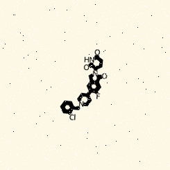 O=C1CCC(N2Cc3cc(C4CCN(Cc5ccccc5Cl)CC4)c(F)cc3C2=O)C(=O)N1